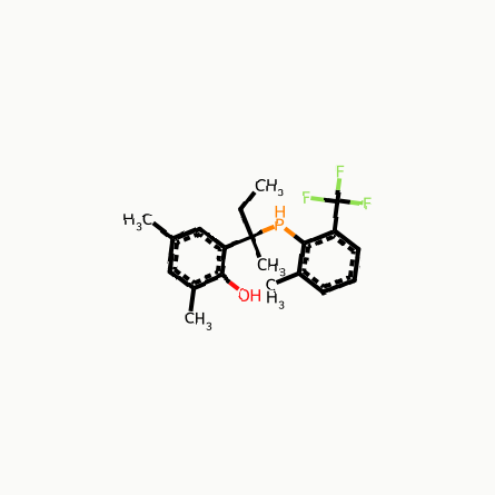 CCC(C)(Pc1c(C)cccc1C(F)(F)F)c1cc(C)cc(C)c1O